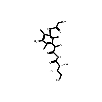 Nc1c(I)c(NC(=O)CO)c(I)c(C(O)C(=O)NC(=O)[C@H](O)[C@@H](O)CO)c1I